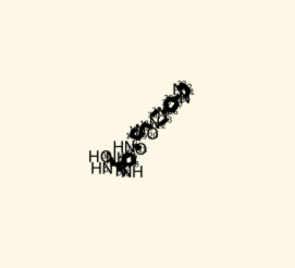 N=C(NO)c1n[nH]c2ccc(NC(=O)[C@@H]3CCN(CC(=O)N4CCN(c5ccc(-c6ncccn6)cc5)CC4)C3)cc12